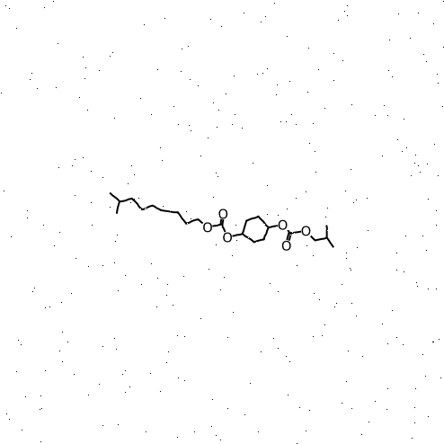 CC(C)CCCCCCCOC(=O)OC1CCC(OC(=O)OCC(C)C)CC1